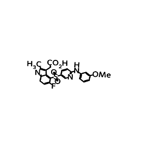 COc1cccc(Nc2ccc(S(=O)(=O)C3=C4C(=NC(C)=C4CC(=O)O)CC=C3F)cn2)c1